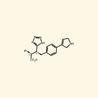 CC(C)[C@H](C(=O)O)[C@H](Cc1ccc(C2=CCNC2)cc1)c1nnn[nH]1